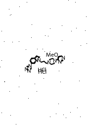 COc1cncnc1N1CCN(CCCn2ccc3ccc(-n4cnnc4)cc32)CC1.Cl.Cl